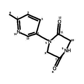 Cc1ccc(N2CC(=O)NCC2=O)cn1